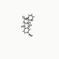 N#Cc1ccc(N/C(=C/[N+](=O)[O-])Nc2ccccn2)c(O)c1